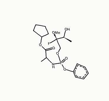 CO[C@](F)(COP(=O)(NC(C)C(=O)OC1CCCC1)Oc1ccccc1)[C@H](C)O